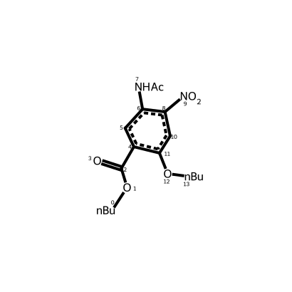 CCCCOC(=O)c1cc(NC(C)=O)c([N+](=O)[O-])cc1OCCCC